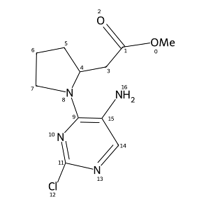 COC(=O)CC1CCCN1c1nc(Cl)ncc1N